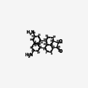 Nc1cccc(-c2ccc3c4c(ccc(-c5cccc(N)c5)c24)C(=O)C3=O)c1